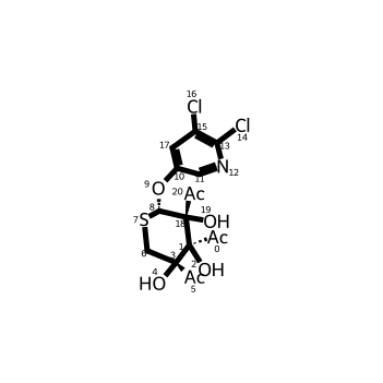 CC(=O)[C@]1(O)[C@@](O)(C(C)=O)CS[C@H](Oc2cnc(Cl)c(Cl)c2)[C@@]1(O)C(C)=O